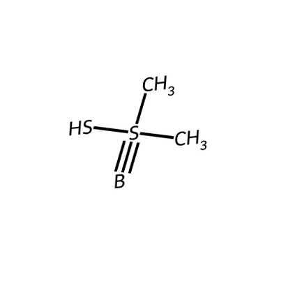 B#S(C)(C)S